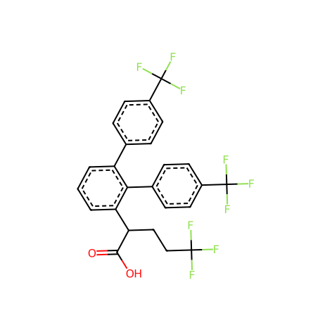 O=C(O)C(CCC(F)(F)F)c1cccc(-c2ccc(C(F)(F)F)cc2)c1-c1ccc(C(F)(F)F)cc1